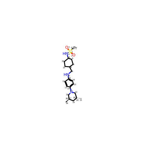 CC(C)S(=O)(=O)NC1CCC(CNc2ccc(N3C[C@H](C)C[C@@H](C)C3)cc2)CC1